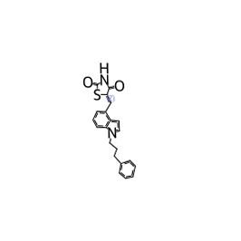 O=C1NC(=O)/C(=C/c2cccc3c2ccn3CCCc2ccccc2)S1